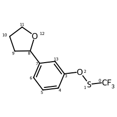 FC(F)(F)SOc1cccc(C2CCCO2)c1